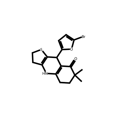 CC1(C)CCC2=C(C1=O)C(c1ccc(Br)o1)C1=C(CCS1)N2